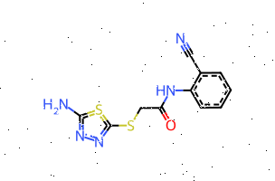 N#Cc1ccccc1NC(=O)CSc1nnc(N)s1